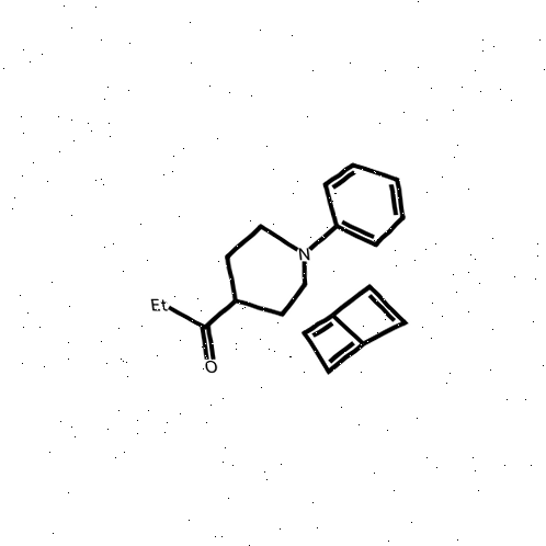 CCC(=O)C1CCN(c2ccccc2)CC1.c1cc2ccc1-2